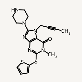 CC#CCn1c(N2CCNCC2)nc2nc(Sc3cccs3)n(C)c(=O)c21